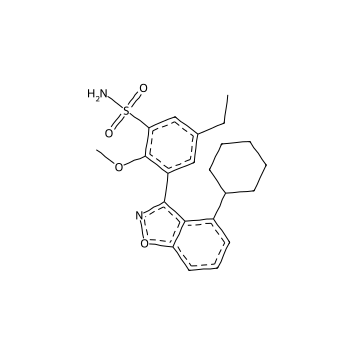 CCc1cc(-c2noc3cccc(C4CCCCC4)c23)c(OC)c(S(N)(=O)=O)c1